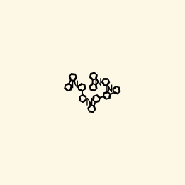 c1cc(-c2cccc(-n3c4ccccc4c4cc(-c5ccc6c7ccccc7n(-c7cccc(-n8c9ccccc9c9ccccc98)c7)c6c5)ccc43)c2)cc(-n2c3ccccc3c3ccccc32)c1